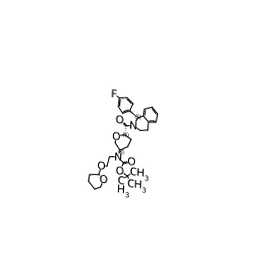 CC(C)(C)OC(=O)N(CCOC1CCCCO1)[C@@H]1CC[C@@H](C(=O)N2CCc3ccccc3[C@@H]2c2ccc(F)cc2)OC1